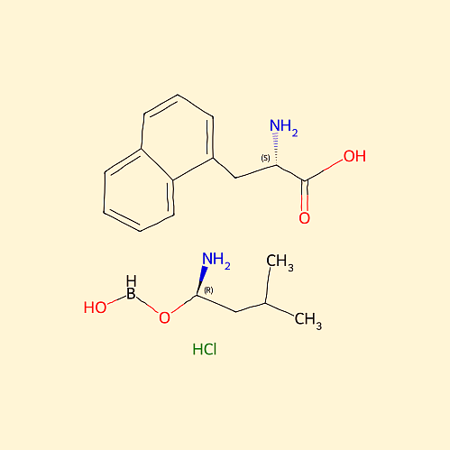 CC(C)C[C@H](N)OBO.Cl.N[C@@H](Cc1cccc2ccccc12)C(=O)O